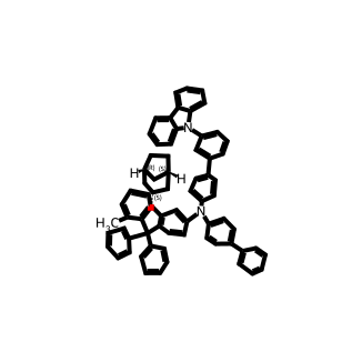 Cc1ccccc1C(c1ccccc1)(c1ccccc1)c1ccc(N(c2ccc(-c3ccccc3)cc2)c2ccc(-c3cccc(-n4c5ccccc5c5ccccc54)c3)cc2)cc1C[C@@H]1C[C@@H]2CC[C@@H](C2)C1